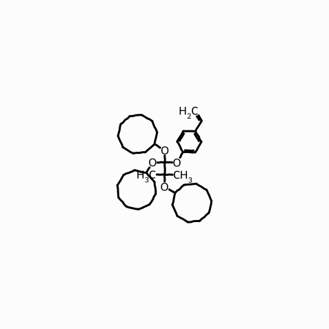 C=Cc1ccc(OC(OC2CCCCCCCCC2)(OC2CCCCCCCCC2)C(C)(C)OC2CCCCCCCCC2)cc1